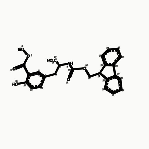 CC(C)(C)OC(=O)c1cc(C[C@H](NC(=O)OCC2c3ccccc3-c3ccccc32)C(=O)O)ccc1O